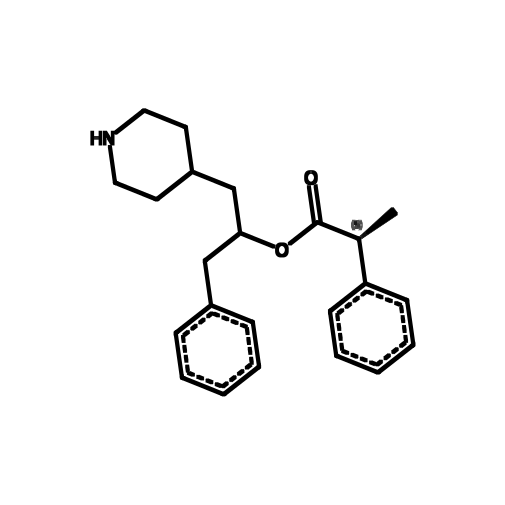 C[C@H](C(=O)OC(Cc1ccccc1)CC1CCNCC1)c1ccccc1